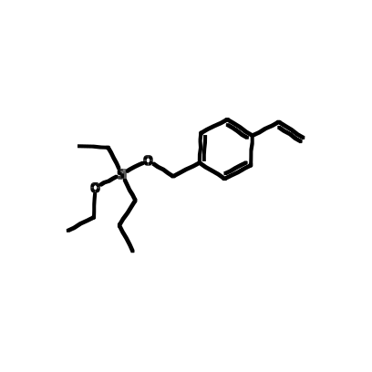 C=Cc1ccc(CO[Si](CC)(CCC)OCC)cc1